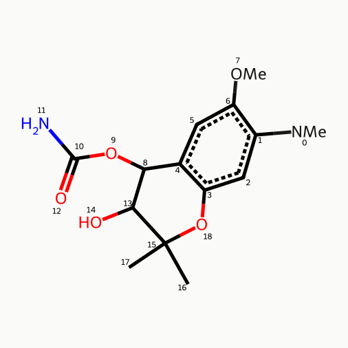 CNc1cc2c(cc1OC)C(OC(N)=O)C(O)C(C)(C)O2